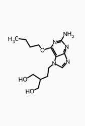 CCCCOc1nc(N)nc2ncn(CCC(CO)CO)c12